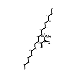 C=CC(=O)OC.CCCCCCCCCCCCCCCCCC